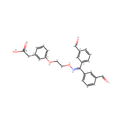 O=Cc1cccc(C(=NOCCOc2cccc(CC(=O)O)c2)c2cccc(C=O)c2)c1